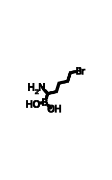 NC(CCCCBr)B(O)O